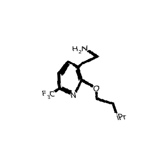 CC(C)CCOc1nc(C(F)(F)F)ccc1CN